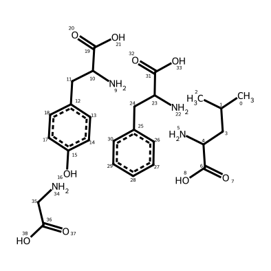 CC(C)CC(N)C(=O)O.NC(Cc1ccc(O)cc1)C(=O)O.NC(Cc1ccccc1)C(=O)O.NCC(=O)O